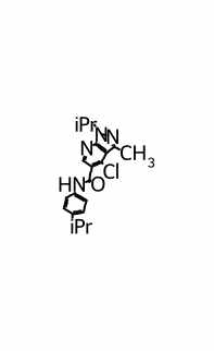 Cc1nn(C(C)C)c2ncc(C(=O)Nc3ccc(C(C)C)cc3)c(Cl)c12